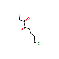 O=C(CBr)C(=O)CCCCCl